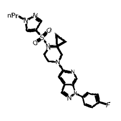 CCCn1cc(S(=O)(=O)N2CCN(c3cc4cnn(-c5ccc(F)cc5)c4cn3)CC23CC3)cn1